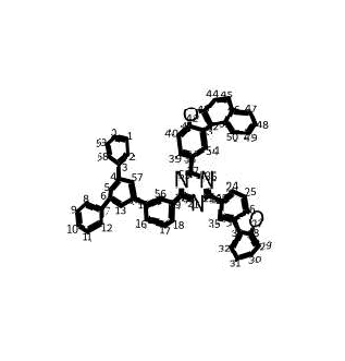 c1ccc(-c2cc(-c3ccccc3)cc(-c3cccc(-c4nc(-c5ccc6oc7ccccc7c6c5)nc(-c5ccc6oc7ccc8ccccc8c7c6c5)n4)c3)c2)cc1